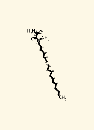 CCCCCCCCCCCCCCCCCCN(N)C(=O)C(N)=O